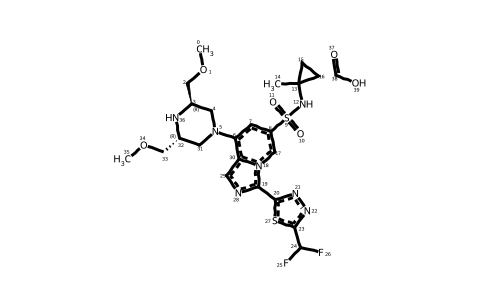 COC[C@H]1CN(c2cc(S(=O)(=O)NC3(C)CC3)cn3c(-c4nnc(C(F)F)s4)ncc23)C[C@H](COC)N1.O=CO